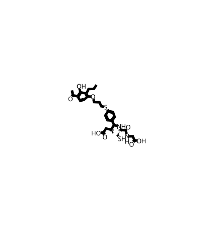 CCCc1c(OCCCSc2ccc(C(N[C@@H](CS)C(=O)NCC(=O)O)[C@@H](C)CC(=O)O)cc2)ccc(C(C)=O)c1O